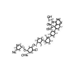 Cc1c(COc2cc(OCc3cncc(C#N)c3)c(C=O)cc2Cl)cccc1-c1cccc(-c2ccc(-c3ccc4ncnc(N(CCO)C(=O)OC(C)(C)C)c4c3)cc2)c1C